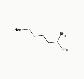 BC(CCCCC)CCCCCCCCCC